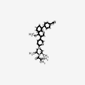 COc1c(-c2ccc(N3CC(C)N(C(=O)C(C)N)[C@H](C)C3)nc2)cnc2c(-c3ccc(C#N)cc3)cccc12